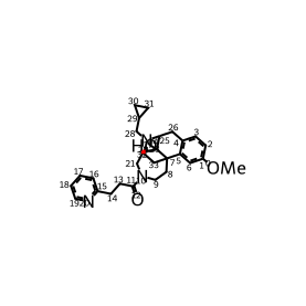 COc1ccc2c(c1)C13CCN(C(=O)CCc4ccccn4)CCC1(O)C(C2)N(CC1CC1)CC3